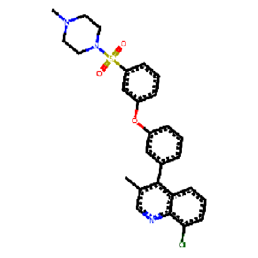 Cc1cnc2c(Cl)cccc2c1-c1cccc(Oc2cccc(S(=O)(=O)N3CCN(C)CC3)c2)c1